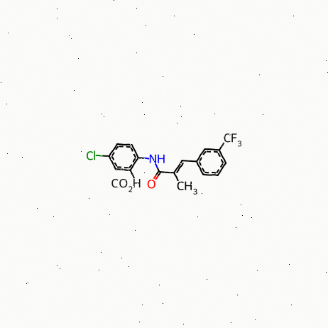 C/C(=C\c1cccc(C(F)(F)F)c1)C(=O)Nc1ccc(Cl)cc1C(=O)O